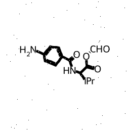 CC(C)C(NC(=O)c1ccc(N)cc1)C(=O)OC=O